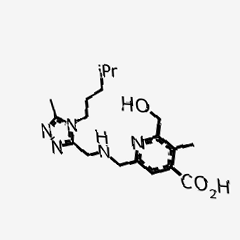 Cc1c(C(=O)O)cc(CNCc2nnc(C)n2CCCC(C)C)nc1CO